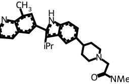 CNC(=O)CN1CCC(c2ccc3[nH]c(-c4cc(C)c5ncccc5c4)c(C(C)C)c3c2)CC1